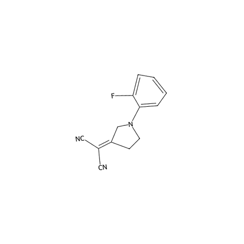 N#CC(C#N)=C1CCN(c2ccccc2F)C1